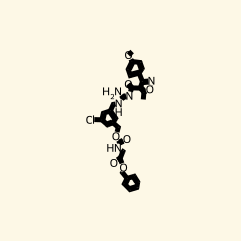 COc1ccc(-c2noc(C)c2C(=O)/N=C(\N)NCc2cc(Cl)cc(COC(=O)NCC(=O)OCc3ccccc3)c2)cc1